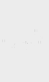 CCC(=O)OC[C@H](C)NC(=O)OC(C)(C)C